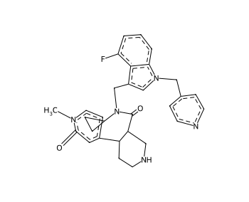 Cn1ccc(C2CCNCC2C(=O)N(Cc2cn(Cc3ccncc3)c3cccc(F)c23)C2CC2)cc1=O